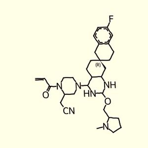 C=CC(=O)N1CCN(C2NC(OCC3CCCN3C)NC3C[C@@]4(CCc5cc(F)ccc5C4)CCC32)CC1CC#N